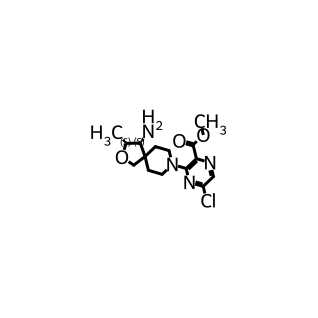 COC(=O)c1ncc(Cl)nc1N1CCC2(CC1)CO[C@@H](C)[C@H]2N